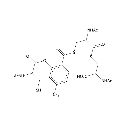 CC(=O)NC(CSC(=O)C(CSC(=O)c1ccc(C(F)(F)F)cc1OC(=O)C(CS)NC(C)=O)NC(C)=O)C(=O)O